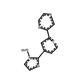 CNn1ccnc1-c1cccc(-c2cnccn2)c1